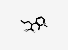 CCCC(C(=O)O)c1ccc[n+](C)c1C